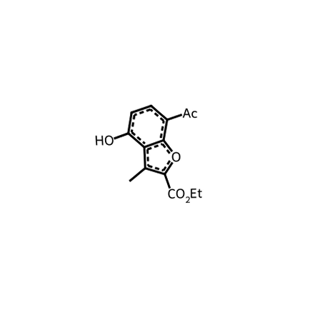 CCOC(=O)c1oc2c(C(C)=O)ccc(O)c2c1C